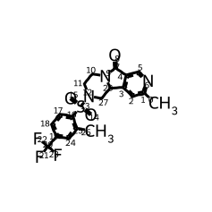 Cc1cc2c(cn1)C(=O)N1CCN(S(=O)(=O)c3ccc(C(F)(F)F)cc3C)CC21